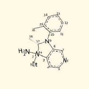 CC[N+]1(N)c2ccncc2N(c2ccccc2C)[C@H]1C